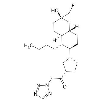 CCCC[C@@H]1[C@H]2CC[C@]3(O)C(F)C3[C@@H]2CC[C@H]1[C@@H]1CC[C@H](C(=O)Cn2ncnn2)C1